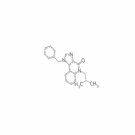 CC(C)Cn1c(=O)c2ncn(Cc3ccccc3)c2c2ccccc21